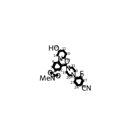 CNS(=O)(=O)c1ccc(N2CCCC(O)C2)c(C(=O)N2CCN(c3ccc(C#N)cc3F)CC2)c1